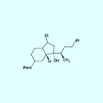 CCCC(C)C1CCC2C(CC)C[C@@](O)([C@H](C)CCC(C)C)[C@@H]2C1